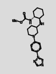 CC(C)(C)OC(=O)N[C@@H]1CCCC[C@H]1NC1CCCN(c2ccc(-n3cncn3)cc2)C1